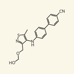 Cc1snc(COCO)c1Nc1ccc(-c2ccc(C#N)cc2)cc1